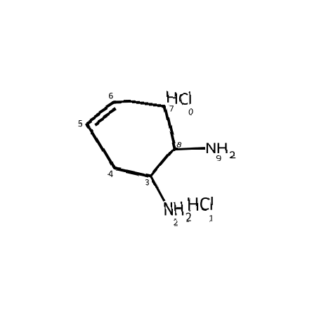 Cl.Cl.NC1CC=CCC1N